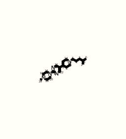 CC(C)CCCN1CCC(c2cnc(N3CCN(C)CC3)nc2)CC1